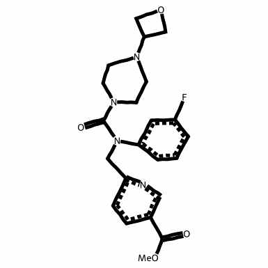 COC(=O)c1ccc(CN(C(=O)N2CCN(C3COC3)CC2)c2cccc(F)c2)nc1